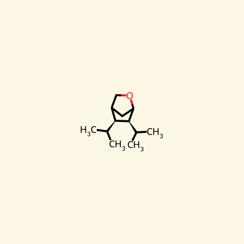 CC(C)[C@@H]1C2CC(CO2)[C@@H]1C(C)C